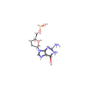 Nc1nc2c(ncn2[C@H]2CC[C@@H](COP=O)O2)c(=O)[nH]1